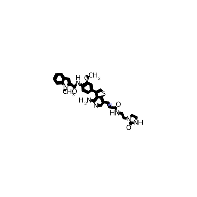 COc1cc(-c2csc3c(/C=C/C(=O)NCCN4CCNC4=O)cnc(N)c23)ccc1NC(=O)c1cc2ccccc2n1C